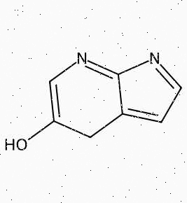 OC1=CN=C2N=CC=C2C1